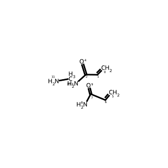 C=CC(N)=O.C=CC(N)=O.CN